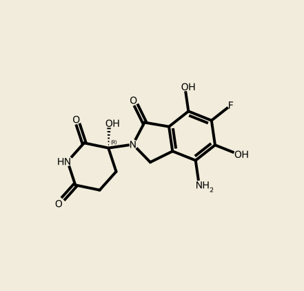 Nc1c(O)c(F)c(O)c2c1CN([C@@]1(O)CCC(=O)NC1=O)C2=O